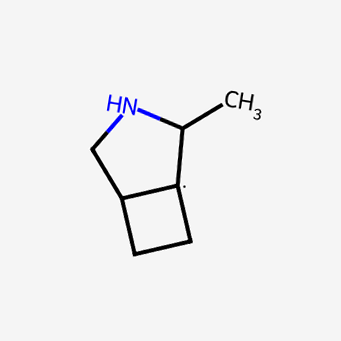 CC1NCC2CC[C]21